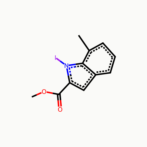 COC(=O)c1cc2cccc(C)c2n1I